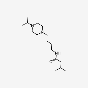 CC(C)CC(=O)NCCCCN1CCN(C(C)C)CC1